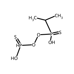 CC(C)P(O)(=S)OO[PH](O)=S